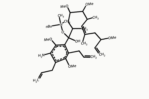 C=CCc1c(N)c(OC)c(C(O)(O[Si](C)(C)CCCC)C(C)CC(OC)C(OC)C(C)C=C(C)CC(C=C)OC)c(CC=C)c1OC